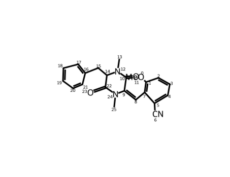 COc1cccc(C#N)c1C=C1C(=O)N(C)C(Cc2ccccc2)C(=O)N1C